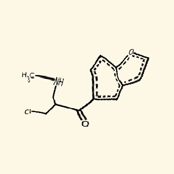 CNC(CCl)C(=O)c1ccc2occc2c1